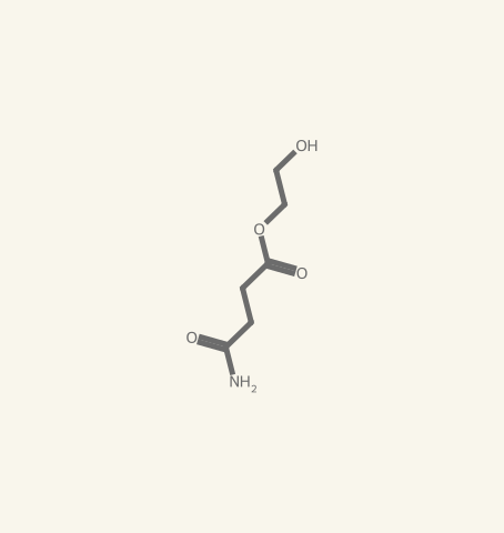 NC(=O)CCC(=O)OCCO